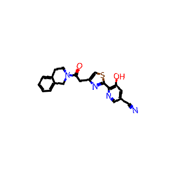 N#Cc1cnc(-c2nc(CC(=O)N3CCc4ccccc4C3)cs2)c(O)c1